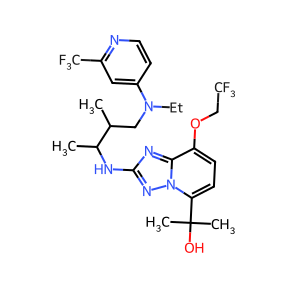 CCN(CC(C)C(C)Nc1nc2c(OCC(F)(F)F)ccc(C(C)(C)O)n2n1)c1ccnc(C(F)(F)F)c1